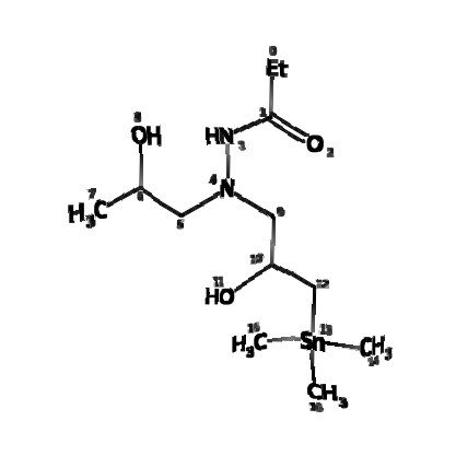 CCC(=O)NN(CC(C)O)CC(O)[CH2][Sn]([CH3])([CH3])[CH3]